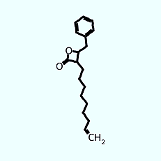 C=CCCCCCCCC1C(=O)OC1Cc1ccccc1